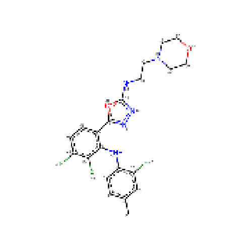 Cc1ccc(Nc2c(-c3nnc(NCCN4CCOCC4)o3)ccc(F)c2F)c(F)c1